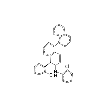 Clc1ccccc1NC1C=Cc2c(-c3cccc4ccccc34)cccc2[C@@H]1c1ccccc1Cl